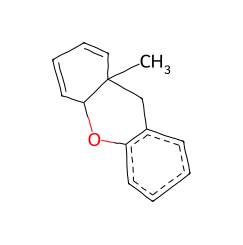 CC12C=CC=CC1Oc1ccccc1C2